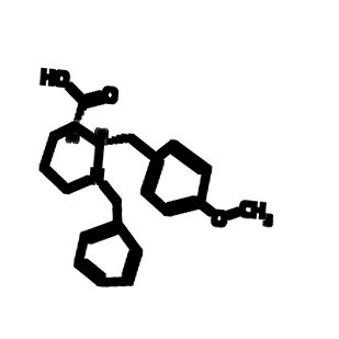 COc1ccc(C[C@H]2[C@@H](C(=O)O)CCCN2Cc2ccccc2)cc1